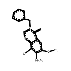 CC(=O)Nc1c(OC(F)(F)F)cc2c(=O)n(Cc3ccccc3)cnc2c1Cl